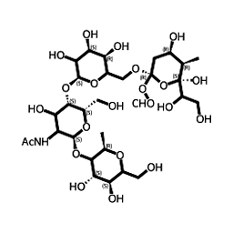 CC(=O)NC1C(O)[C@H](O[C@@H]2OC(CO[C@]3(OC=O)C[C@@H](O)[C@@H](C)[C@@](O)(C(O)CO)O3)[C@H](O)[C@H](O)C2O)[C@H](CO)O[C@H]1OC1[C@@H](O)[C@H](O)C(CO)O[C@@H]1C